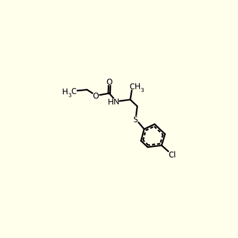 CCOC(=O)NC(C)CSc1ccc(Cl)cc1